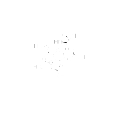 COC(=O)C1O[C@H](OC(=N)C(Cl)(Cl)Cl)C(OC(C)=O)[C@@H](OC(C)=O)[C@@H]1OC(C)=O